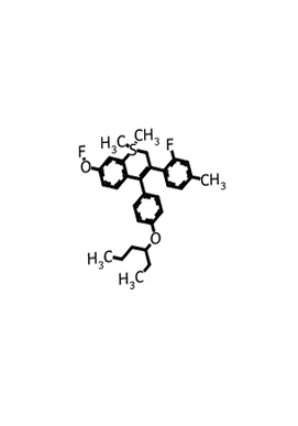 CCCC(CC)Oc1ccc(C2=C(c3ccc(C)cc3F)CS(C)(C)c3cc(OF)ccc32)cc1